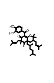 CC(C)=CCC(C)CC12CC(CC=C(C)C)C(C)(C)OC1=C(C(=O)c1ccc(O)c(O)c1)C(=O)C(C)(CC=C(C)C)C2=O